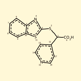 O=C(O)C(Sc1nc2ccccc2s1)c1ccncc1